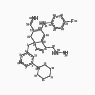 C=CC1(Cc2cncc(N3CCCCC3)c2)CC(C=N)=C(Nc2ccc(F)cc2)C=C1CCNS